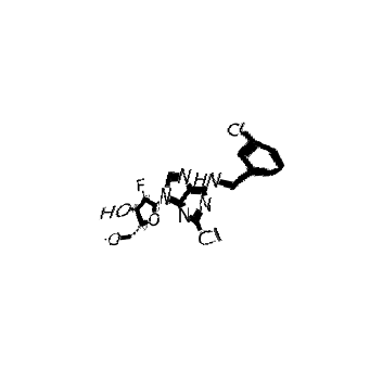 [O]C[C@H]1O[C@@H](n2cnc3c(NCc4cccc(Cl)c4)nc(Cl)nc32)[C@@H](F)[C@@H]1O